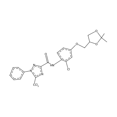 CC1(C)OCC(COc2ccc(NC(=O)c3nc(C(Cl)(Cl)Cl)n(-c4ccccc4)n3)c(Cl)c2)O1